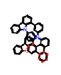 c1ccc(-c2ccccc2-c2c(-c3ccccc3)cccc2N(c2cccc(-c3cccc4c5ccccc5n(-c5ccccc5)c34)c2)c2ccc3c(c2)oc2ccccc23)cc1